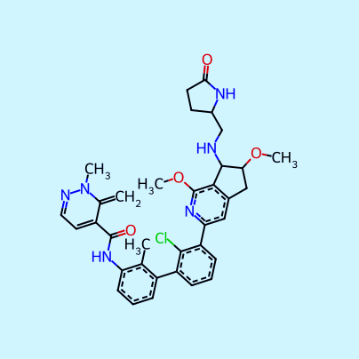 C=C1C(C(=O)Nc2cccc(-c3cccc(-c4cc5c(c(OC)n4)C(NCC4CCC(=O)N4)C(OC)C5)c3Cl)c2C)=CC=NN1C